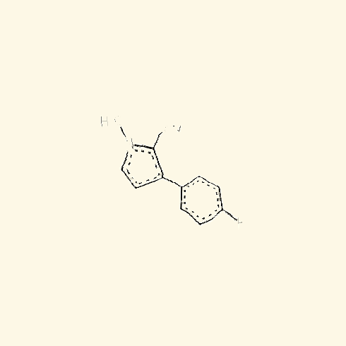 Cn1ccc(-c2ccc(F)cc2)c1C#N